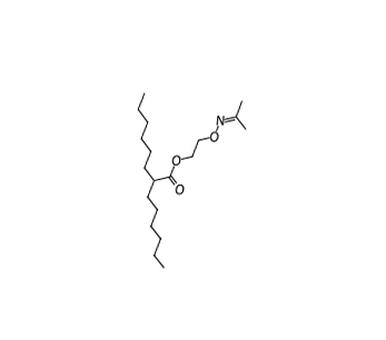 CCCCCCC(CCCCCC)C(=O)OCCON=C(C)C